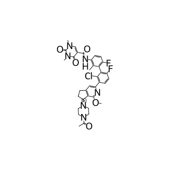 COc1nc(-c2ccc(F)c(-c3c(F)ccc(NC(=O)c4cn(C)c(=O)n(C)c4=O)c3C)c2Cl)cc2c1[C@@H](N1CCN(C(C)=O)CC1)CC2